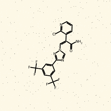 NC(=O)/C(=C\n1cnc(-c2cc(C(F)(F)F)cc(C(F)(F)F)c2)n1)c1cccnc1Cl